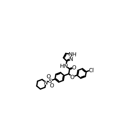 O=C(Nc1cc[nH]n1)C(Oc1ccc(Cl)cc1)c1ccc(S(=O)(=O)N2CCCCC2)cc1